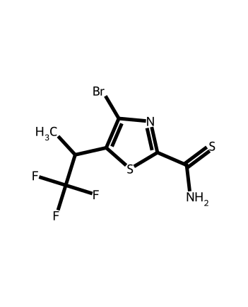 CC(c1sc(C(N)=S)nc1Br)C(F)(F)F